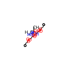 CCCCC(C(=O)O)N(C)C(=N)NP(=O)(OCCCCOC(=O)OCCCc1ccccc1)OCCCCOC(=O)OCCCc1ccccc1